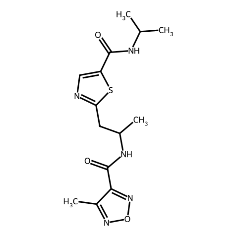 Cc1nonc1C(=O)NC(C)Cc1ncc(C(=O)NC(C)C)s1